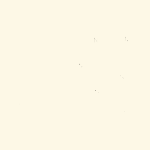 C#CCCCn1c(Br)nc2c(N)ncnc21